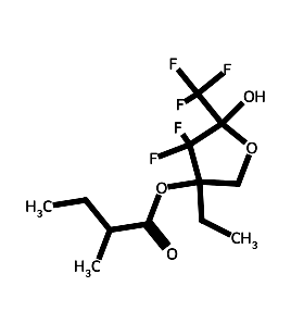 CCC(C)C(=O)OC1(CC)COC(O)(C(F)(F)F)C1(F)F